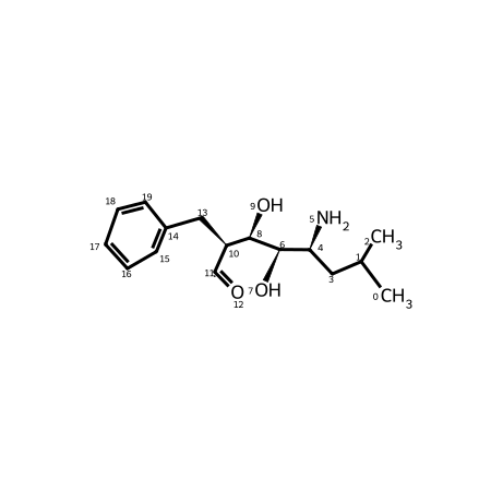 CC(C)C[C@H](N)[C@@H](O)[C@H](O)[C@@H]([C]=O)Cc1ccccc1